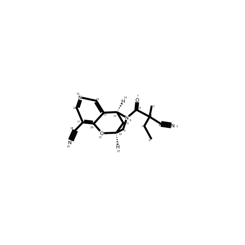 CCC(C)(C#N)C(=O)N1C[C@@H]2C[C@H]1c1cncc(C#N)c1O2